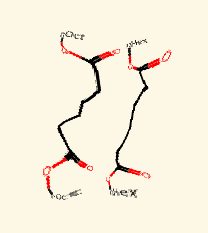 CCCCCCCCOC(=O)CCCCC(=O)OCCCCCCCC.CCCCCCOC(=O)CCCCC(=O)OCCCCCC